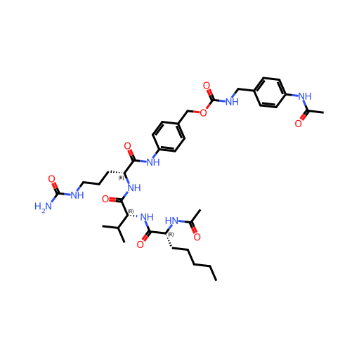 CCCCC[C@@H](NC(C)=O)C(=O)N[C@@H](C(=O)N[C@H](CCCNC(N)=O)C(=O)Nc1ccc(COC(=O)NCc2ccc(NC(C)=O)cc2)cc1)C(C)C